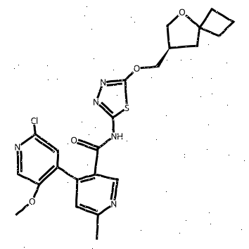 COc1cnc(Cl)cc1-c1cc(C)ncc1C(=O)Nc1nnc(OC[C@H]2COC3(CCC3)C2)s1